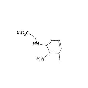 CCOC(=O)CNc1cccc(C)c1N